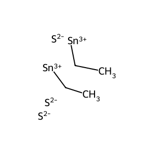 C[CH2][Sn+3].C[CH2][Sn+3].[S-2].[S-2].[S-2]